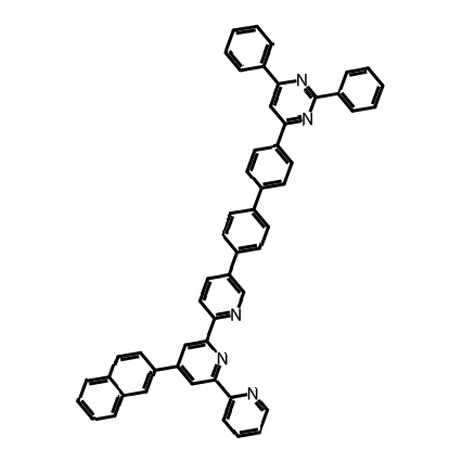 c1ccc(-c2cc(-c3ccc(-c4ccc(-c5ccc(-c6cc(-c7ccc8ccccc8c7)cc(-c7ccccn7)n6)nc5)cc4)cc3)nc(-c3ccccc3)n2)cc1